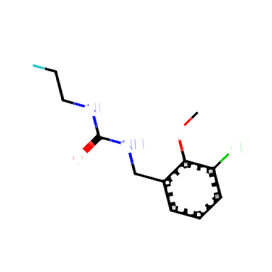 COc1c(Cl)cccc1CNC(=O)NCCF